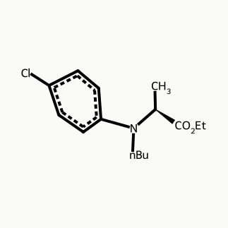 CCCCN(c1ccc(Cl)cc1)[C@@H](C)C(=O)OCC